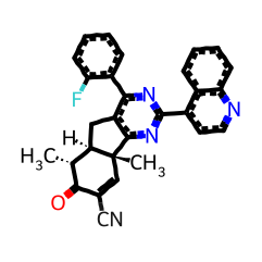 C[C@H]1C(=O)C(C#N)=C[C@@]2(C)c3nc(-c4ccnc5ccccc45)nc(-c4ccccc4F)c3C[C@H]12